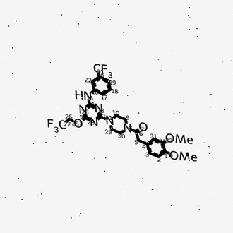 COc1ccc(CC(=O)N2CCN(c3nc(Nc4cccc(C(F)(F)F)c4)nc(OCC(F)(F)F)n3)CC2)cc1OC